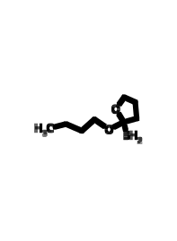 BC1(OCCCC)CCCO1